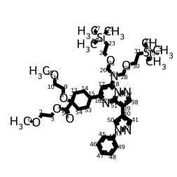 COCCOC(=O)C1(OCCOC)CCC(c2cc(N(COCC[Si](C)(C)C)COCC[Si](C)(C)C)n3ncc(-c4cnn(-c5ccccc5)c4)c3n2)CC1